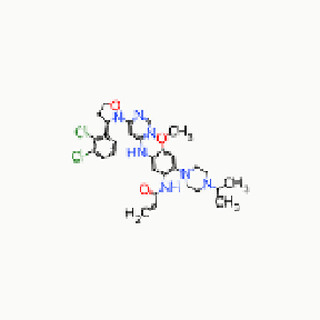 C=CC(=O)Nc1cc(Nc2cc(N3OCC[C@@H]3c3cccc(Cl)c3Cl)ncn2)c(OC)cc1N1CCN(C(C)C)CC1